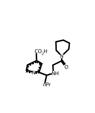 CCCC(NCC(=O)N1CCCCC1)c1cc(C(=O)O)ccn1